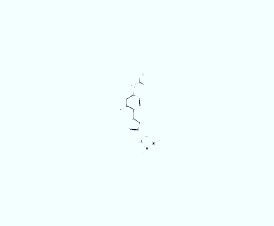 CC1(C)OB(c2csc(-c3ccc(NC(=O)O)cc3Cl)c2)OC1(C)C